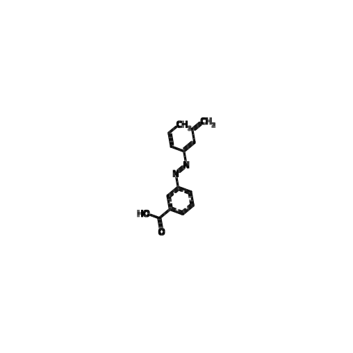 C=C/C=C(\C=C/C)/N=N/c1cccc(C(=O)O)c1